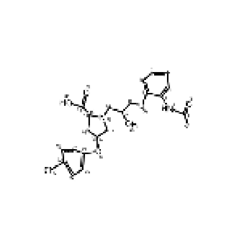 CC(=O)Nc1ccccc1OCC(O)CN1C[C@@H](Oc2ccc(Cl)cc2)C[C@H]1C(=O)O